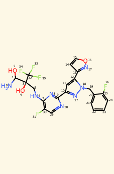 NC(O)[C@@](O)(CNc1nc(-c2cc(-c3ccon3)n(Cc3ccccc3F)n2)ncc1F)C(F)(F)F